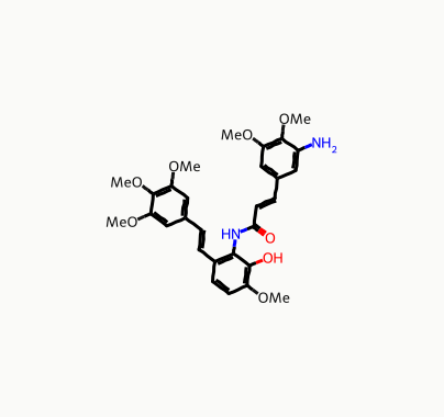 COc1ccc(/C=C/c2cc(OC)c(OC)c(OC)c2)c(NC(=O)/C=C/c2cc(N)c(OC)c(OC)c2)c1O